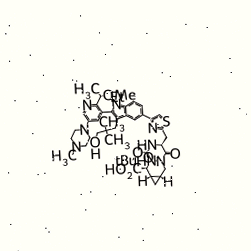 CCn1c(-c2cc(N3CCN(C)CC3)cnc2[C@H](C)OC)c(CC(C)(C)CO)c2cc(-c3csc(C[C@H](NC(=O)OC(C)(C)C)C(=O)N4C[C@@H]5C[C@@H]5[C@@H](C(=O)O)N4)n3)ccc21